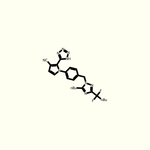 CCCCc1nc(C(F)(F)CCCC)nn1Cc1ccc(-n2ccc(C#N)c2-c2nnn[nH]2)cc1